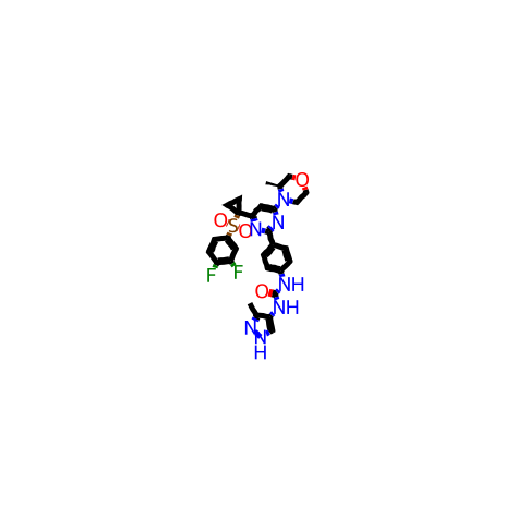 Cc1n[nH]cc1NC(=O)Nc1ccc(-c2nc(N3CCOC[C@@H]3C)cc(C3(S(=O)(=O)c4ccc(F)c(F)c4)CC3)n2)cc1